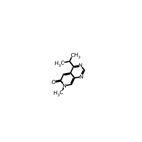 CC(C)c1ncnc2cn(C)c(=O)cc12